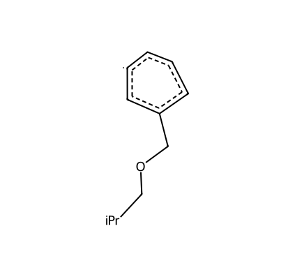 CC(C)COCc1c[c]ccc1